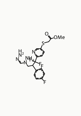 COC(=O)CSc1ccc(C(F)(F)C(CN(N)/C=N\N)c2ccc(F)cc2F)nc1